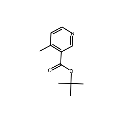 Cc1ccncc1C(=O)OC(C)(C)C